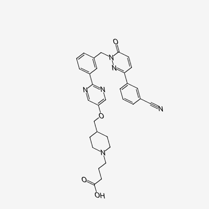 N#Cc1cccc(-c2ccc(=O)n(Cc3cccc(-c4ncc(OCC5CCN(CCCC(=O)O)CC5)cn4)c3)n2)c1